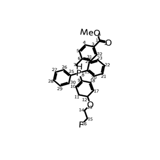 COC(=O)c1ccc(C[PH](C2=CCC(OCCF)C=C2)(c2ccccc2)c2ccccc2)cc1